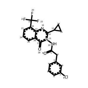 O=C(Cc1cccc(Cl)c1)Nn1c(C2CC2)nc2c(C(F)(F)F)cccc2c1=O